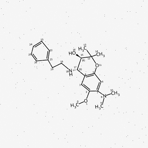 COc1cc2c(cc1N(C)C)OC(C)(C)[C@H](O)[C@H]2NCCc1ccccc1